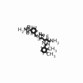 Cc1cccc(-c2nc(N)c(F)c(-c3cn(Cc4cccc(S(N)(=O)=O)c4)nn3)n2)c1C